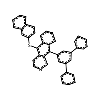 c1ccc(-c2cc(-c3ccccc3)cc(-c3c4ccccc4c(Sc4ccc5ccccc5c4)c4ccncc34)c2)cc1